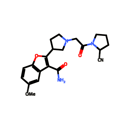 COc1ccc2oc(C3CCN(CC(=O)N4CCCC4C#N)C3)c(C(N)=O)c2c1